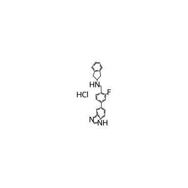 Cl.Fc1cc(-c2ccc3[nH]cnc3c2)ccc1CNC1Cc2ccccc2C1